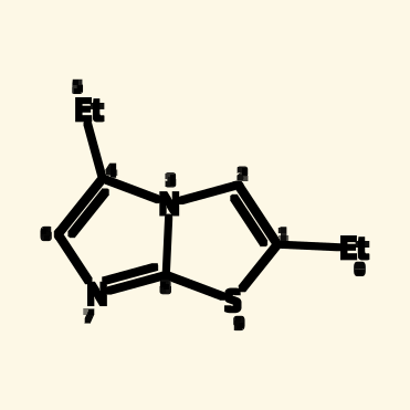 CCc1cn2c(CC)cnc2s1